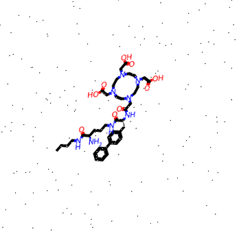 CCCCNC(=O)[C@H](N)CCCNC(=O)[C@@H](Cc1ccc(-c2ccccc2)cc1)NC(=O)CN1CCN(CC(=O)O)CCN(CC(=O)O)CCN(CC(=O)O)CC1